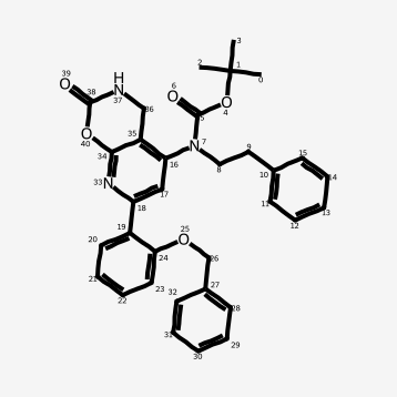 CC(C)(C)OC(=O)N(CCc1ccccc1)c1cc(-c2ccccc2OCc2ccccc2)nc2c1CNC(=O)O2